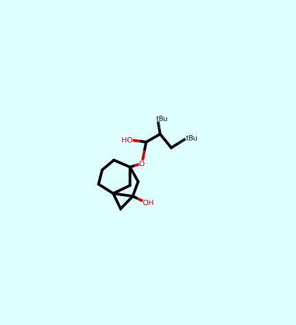 CC(C)(C)CC(C(O)OC12CCCC3(C1)CC3(O)C2)C(C)(C)C